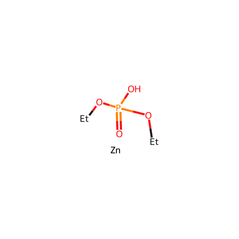 CCOP(=O)(O)OCC.[Zn]